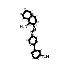 N#Cc1cccc(-c2ccc(N=Nc3ccc4ccccc4c3N)cn2)c1